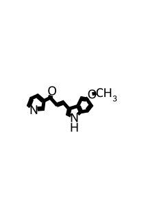 COc1ccc2[nH]cc(C=CC(=O)c3cccnc3)c2c1